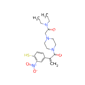 C=C(C(=O)N1CCN(CC(=O)N(CC)CC)CC1)c1ccc(S)c([N+](=O)[O-])c1